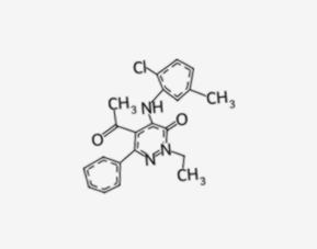 CCn1nc(-c2ccccc2)c(C(C)=O)c(Nc2cc(C)ccc2Cl)c1=O